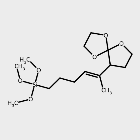 CO[Si](CCCC=C(C)C1CCOC12OCCO2)(OC)OC